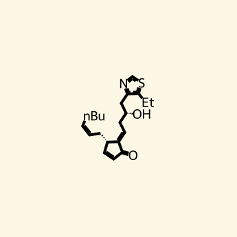 CCCC/C=C\C[C@H]1C=CC(=O)/C1=C/C[C@@H](O)Cc1ncsc1CC